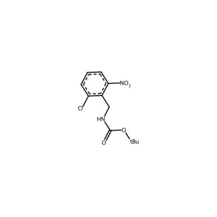 CC(C)(C)OC(=O)NCc1c(Cl)cccc1[N+](=O)[O-]